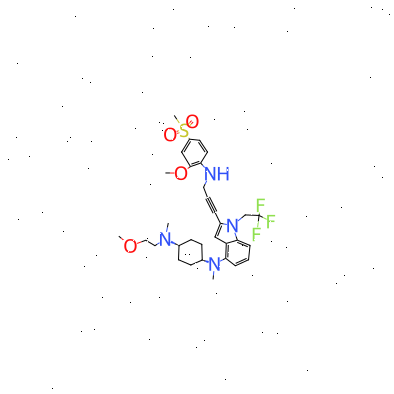 COCCN(C)[C@H]1CC[C@@H](N(C)c2cccc3c2cc(C#CCNc2ccc(S(C)(=O)=O)cc2OC)n3CC(F)(F)F)CC1